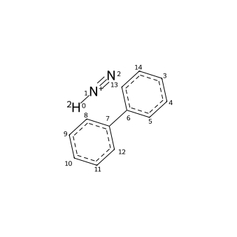 [2H][N+]#N.c1ccc(-c2ccccc2)cc1